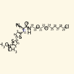 CN(C)c1ccc(-c2ccc(/C=C(\C#N)C(=O)NCCOCCOCCCCCCCl)s2)s1